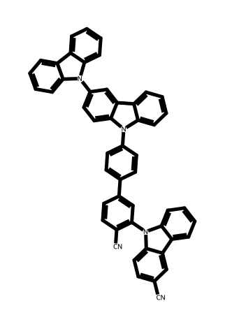 N#Cc1ccc2c(c1)c1ccccc1n2-c1cc(-c2ccc(-n3c4ccccc4c4cc(-n5c6ccccc6c6ccccc65)ccc43)cc2)ccc1C#N